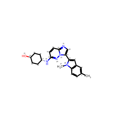 Cc1ccc2c(c1)cc(-c1cnc3ccc(N[C@H]4CC[C@H](O)CC4)nn13)n2C